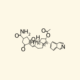 CC(=O)OC1C[C@H]2[C@@H]3OC4=C(C=C3CC[C@]2(C)[C@H]1c1ccc2cnccc2c1)C(=O)CC(C(N)=O)C4